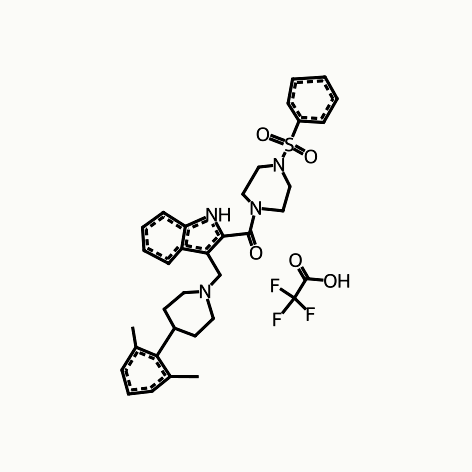 Cc1cccc(C)c1C1CCN(Cc2c(C(=O)N3CCN(S(=O)(=O)c4ccccc4)CC3)[nH]c3ccccc23)CC1.O=C(O)C(F)(F)F